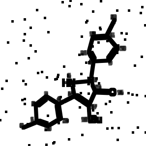 Cc1ccc(-c2[nH]n(-c3ccc(C)cc3)c(=O)c2C(C)(C)C)cc1